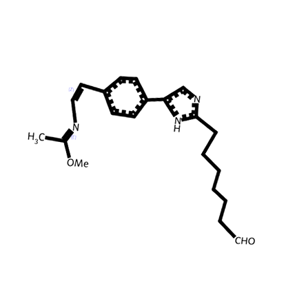 CO/C(C)=N/C=C\c1ccc(-c2cnc(CCCCCCC=O)[nH]2)cc1